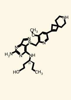 CCC[C@@H](CCO)Nc1nc(N)nc2cnn(Cc3ncc(C4=CC5(CCNCC5)C4)cc3OC)c12